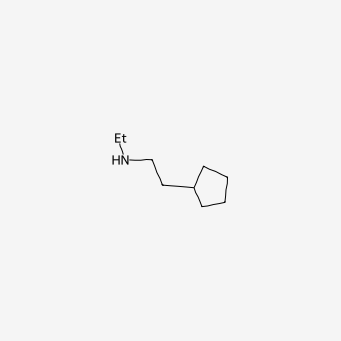 [CH2]CNCCC1CCCC1